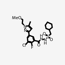 COCCn1nc(-c2cc(Cl)c(F)c(C(=O)NNS(=O)(=O)CC3CCCCC3)c2)cc1C